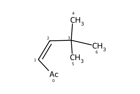 CC(=O)/C=C\C(C)(C)C